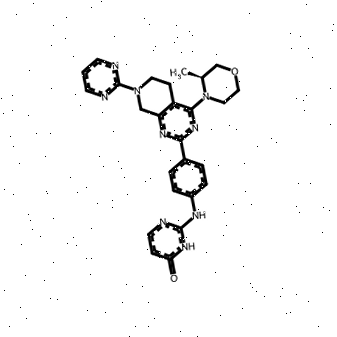 C[C@H]1COCCN1c1nc(-c2ccc(Nc3nccc(=O)[nH]3)cc2)nc2c1CCN(c1ncccn1)C2